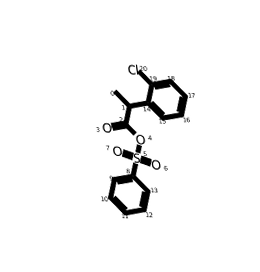 CC(C(=O)OS(=O)(=O)c1ccccc1)c1ccccc1Cl